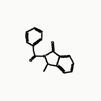 CC1c2ccccc2C(=O)N1C(=O)c1ccccc1